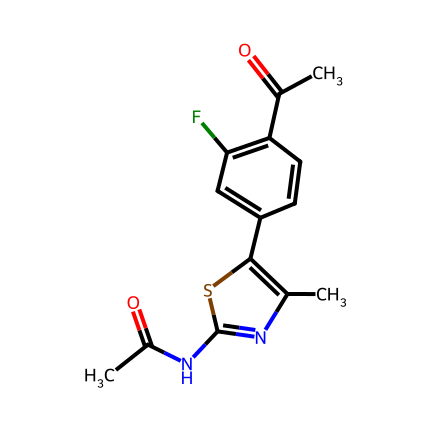 CC(=O)Nc1nc(C)c(-c2ccc(C(C)=O)c(F)c2)s1